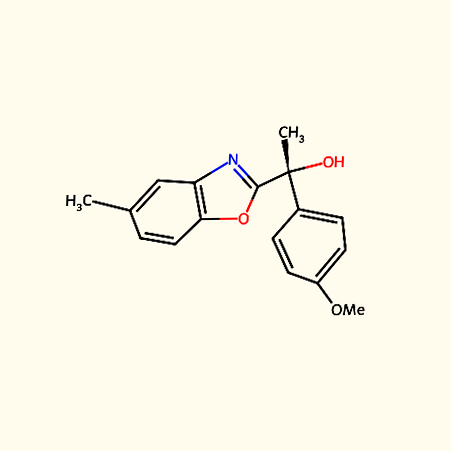 COc1ccc([C@@](C)(O)c2nc3cc(C)ccc3o2)cc1